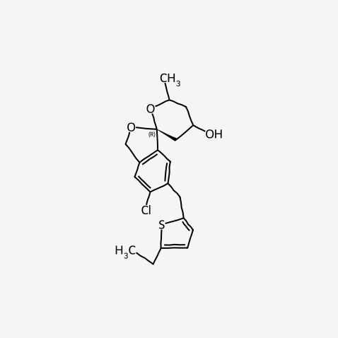 CCc1ccc(Cc2cc3c(cc2Cl)CO[C@@]32CC(O)CC(C)O2)s1